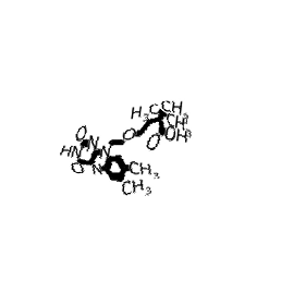 Cc1cc2nc3c(=O)[nH]c(=O)nc-3n(CCOCCC(C(=O)O)C(C)(C)C)c2cc1C